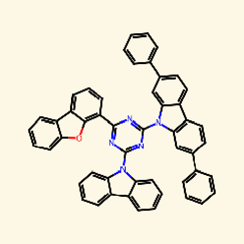 c1ccc(-c2ccc3c4ccc(-c5ccccc5)cc4n(-c4nc(-c5cccc6c5oc5ccccc56)nc(-n5c6ccccc6c6ccccc65)n4)c3c2)cc1